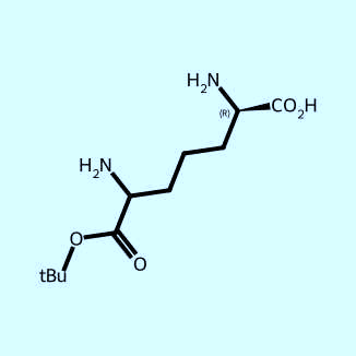 CC(C)(C)OC(=O)C(N)CCC[C@@H](N)C(=O)O